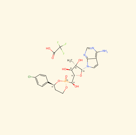 C[C@@]1(O)[C@H](O)[C@@H]([C@@H](O)[P@@]2(=O)OCC[C@@H](c3ccc(Cl)cc3)O2)O[C@H]1n1ccc2c(N)ncnc21.O=C(O)C(F)(F)F